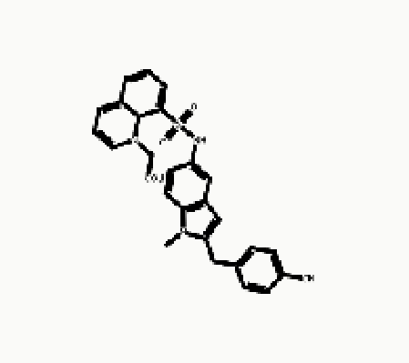 Cn1c(Cc2ccc(C#N)cc2)cc2cc(NS(=O)(=O)C3=CC=CC4=CC=CN(CC(=O)O)C43)ccc21